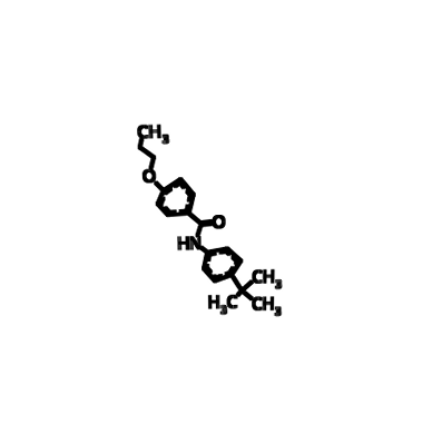 CCCOc1ccc(C(=O)Nc2ccc(C(C)(C)C)cc2)cc1